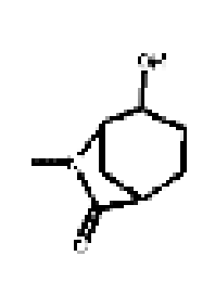 CN1C(=O)C2CCC(O)C1C2